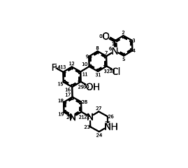 O=c1ccccn1-c1ccc(-c2cc(F)cc(-c3ccnc(N4CCNCC4)c3)c2O)cc1Cl